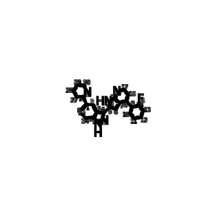 C=C(/C=c1/c(-c2cc3c(-c4ccccc4F)ccnc3[nH]2)n[nH]/c1=C/C)c1ccccn1